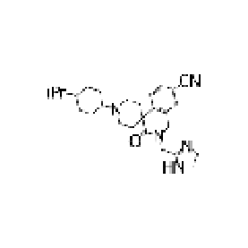 CC(C)[C@H]1CC[C@@H](N2CCC3(CC2)C(=O)N(CC2=NCCN2)Cc2cc(C#N)ccc23)CC1